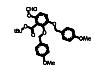 COc1ccc(COc2ccc(OC=O)c(C(=O)OC(C)(C)C)c2OCc2ccc(OC)cc2)cc1